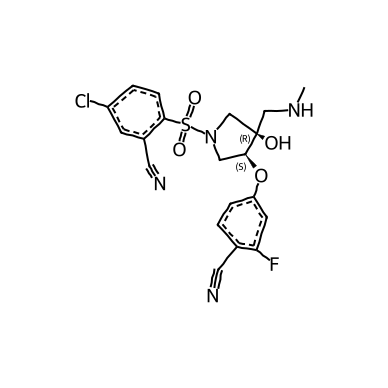 CNC[C@@]1(O)CN(S(=O)(=O)c2ccc(Cl)cc2C#N)C[C@@H]1Oc1ccc(C#N)c(F)c1